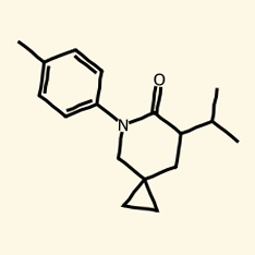 Cc1ccc(N2CC3(CC3)CC(C(C)C)C2=O)cc1